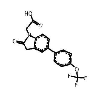 O=C(O)CN1C(=O)Cc2cc(-c3ccc(OC(F)(F)F)cc3)ccc21